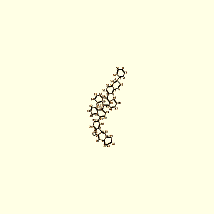 c1ccc(-c2ccc3cc(-c4c5ccccc5c(-c5ccc(-c6ccc7oc8cc9ccccc9cc8c7c6)c6ccccc56)c5ccccc45)ccc3c2)cc1